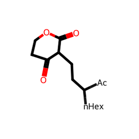 CCCCCCC(CCC1C(=O)CCOC1=O)C(C)=O